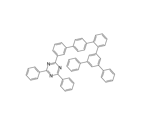 c1ccc(-c2cc(-c3ccccc3)cc(-c3ccccc3-c3ccc(-c4cccc(-c5nc(-c6ccccc6)nc(-c6ccccc6)n5)c4)cc3)c2)cc1